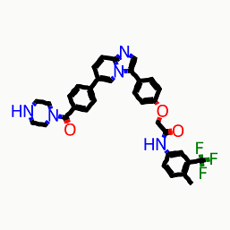 Cc1ccc(NC(=O)COc2ccc(-c3cnc4ccc(-c5ccc(C(=O)N6CCNCC6)cc5)cn34)cc2)cc1C(F)(F)F